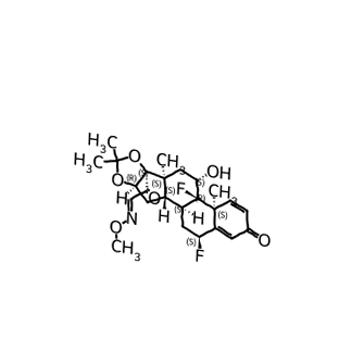 CON=CC(=O)[C@@]12OC(C)(C)O[C@@H]1C[C@H]1[C@@H]3C[C@H](F)C4=CC(=O)C=C[C@]4(C)[C@@]3(F)[C@@H](O)C[C@@]12C